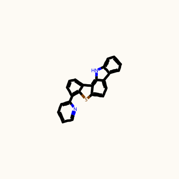 c1ccc(-c2cccc3c2sc2ccc4c5ccccc5[nH]c4c23)nc1